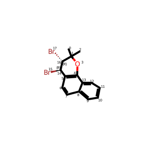 CC1(C)Oc2c(ccc3ccccc23)[C@@H](Br)[C@@H]1Br